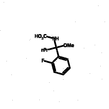 CCCC(NC(=O)O)(OC)c1ccccc1F